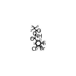 CC(C)(C)C(=O)ONC(=O)c1cc(F)c(Br)c(Cl)c1